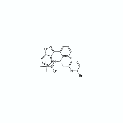 CC(C)(C)[S+]([O-])N[C@@H](Cc1cccc(Br)n1)c1c(F)cccc1-c1noc2ccccc12